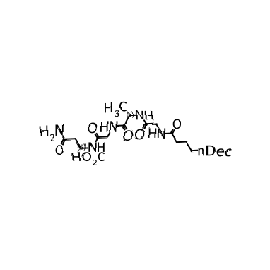 CCCCCCCCCCCCCC(=O)NCC(=O)N[C@@H](C)C(=O)NCC(=O)N[C@@H](CC(N)=O)C(=O)O